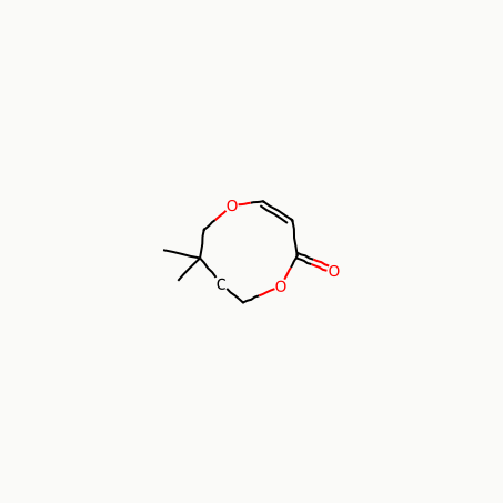 CC1(C)CCOC(=O)C=COC1